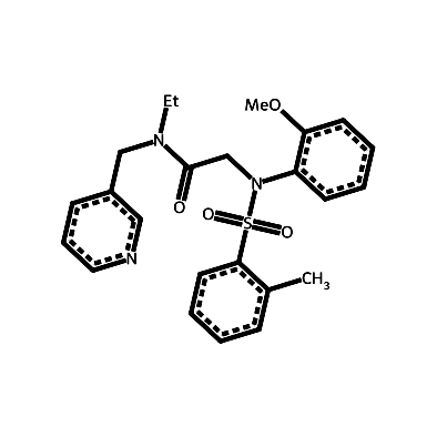 CCN(Cc1cccnc1)C(=O)CN(c1ccccc1OC)S(=O)(=O)c1ccccc1C